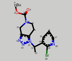 CCCCOC(=O)N1CCc2c(nnn2C(C)c2cccnc2Br)C1